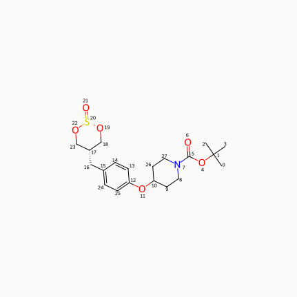 CC(C)(C)OC(=O)N1CCC(Oc2ccc(C[C@H]3CO[S@@](=O)OC3)cc2)CC1